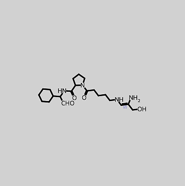 N/C(=C\NCCCCC(=O)N1CCCC1C(=O)NC(C=O)C1CCCCC1)CO